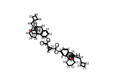 O=C(Oc1ccc2c(c1)[C@@]13CCCC[C@H]1[C@@H](C2)N(CC1CCC1)CC3)[C@H]1C[C@H]1C(=O)Oc1ccc2c(c1)[C@@]13CCCC[C@H]1[C@@H](C2)N(CC1CCC1)CC3